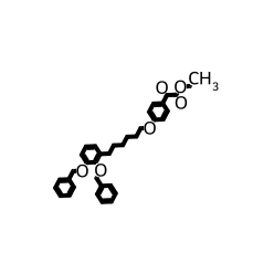 CCOC(=O)C(=O)c1ccc(OCCCCCCc2cccc(OCc3ccccc3)c2OCc2ccccc2)cc1